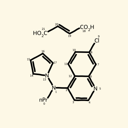 CCCN(c1ccnc2cc(Cl)ccc12)n1cccc1.O=C(O)C=CC(=O)O